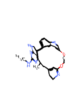 CNc1nc2c3c(c[nH]c3n1)-c1ccc3ncc(cc3c1)OCCOc1cc(ccn1)CC2C